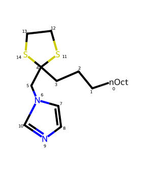 CCCCCCCCCCCC1(Cn2ccnc2)SCCS1